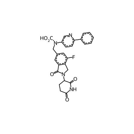 O=C1CCC(N2Cc3c(F)cc(CN(C(=O)O)c4ccc(-c5ccccc5)nc4)cc3C2=O)C(=O)N1